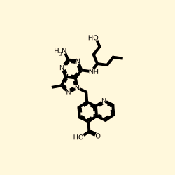 CCCC(CCO)Nc1nc(N)nc2c(C)nn(Cc3ccc(C(=O)O)c4cccnc34)c12